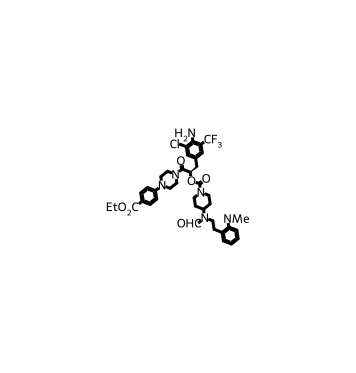 CCOC(=O)c1ccc(N2CCN(C(=O)[C@@H](Cc3cc(Cl)c(N)c(C(F)(F)F)c3)OC(=O)N3CCC(N(C=O)CCc4ccccc4NC)CC3)CC2)cc1